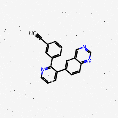 C#Cc1cccc(-c2ncccc2-c2ccc3ncncc3c2)c1